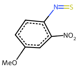 COc1ccc(N=S)c([N+](=O)[O-])c1